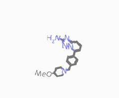 COC1CCN(Cc2ccc(-c3cccc4nc(N)nn34)cc2)CC1